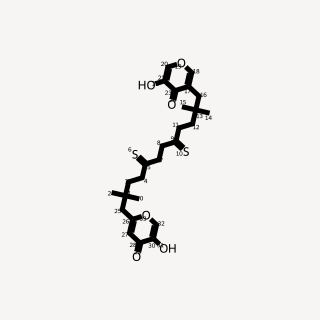 CC(C)(CCC(=S)CCC(=S)CCC(C)(C)Cc1cocc(O)c1=O)Cc1cc(=O)c(O)co1